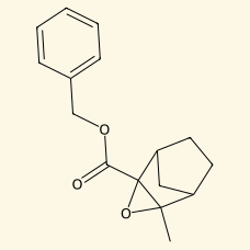 CC12OC1(C(=O)OCc1ccccc1)C1CCC2C1